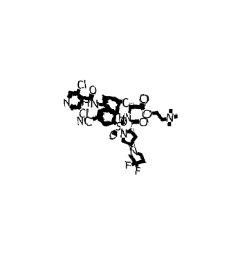 C[N+](C)(C)CCOC(=O)[C@H](Cc1ccc(NC(=O)c2c(Cl)cncc2Cl)cc1)NC(=O)[C@@H]1C[C@@H](N2CCC(F)(F)C2)CN1S(=O)(=O)c1cccc(C#N)c1